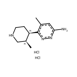 Cc1cc(N)nnc1[C@@H]1CCNC[C@@H]1C.Cl.Cl